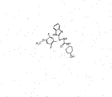 COc1cc(F)c(C[C@@H](NC(=O)N[C@H]2CC[C@H](O)CC2)c2nc3ccccc3[nH]2)cc1F